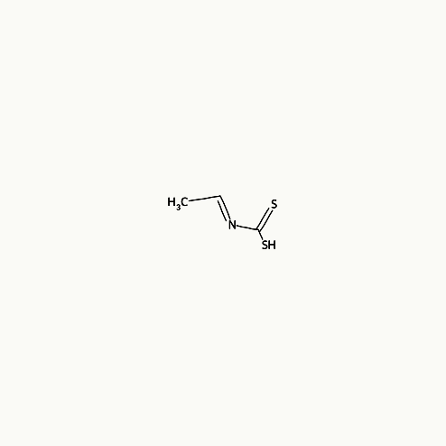 CC=NC(=S)S